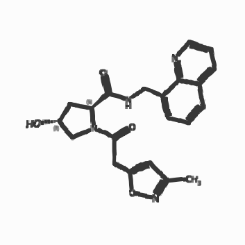 Cc1cc(CC(=O)N2C[C@H](O)C[C@H]2C(=O)NCc2cccc3cccnc23)on1